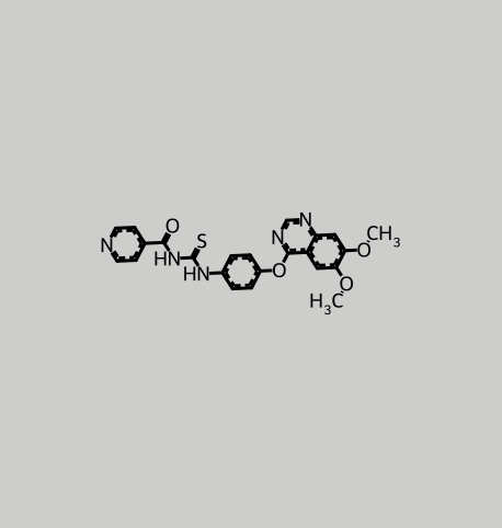 COc1cc2ncnc(Oc3ccc(NC(=S)NC(=O)c4ccncc4)cc3)c2cc1OC